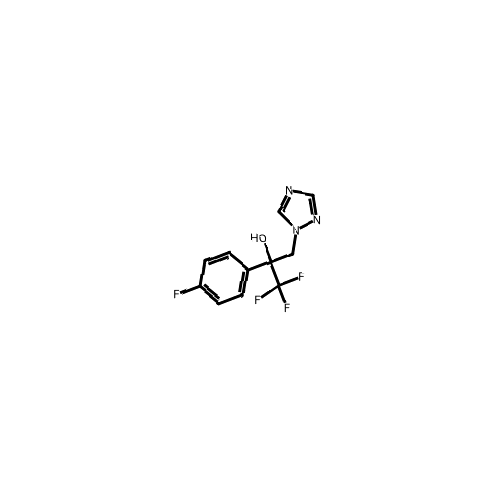 OC(Cn1cncn1)(c1ccc(F)cc1)C(F)(F)F